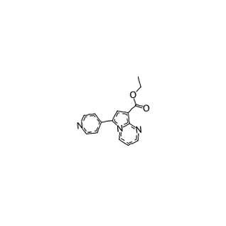 CCOC(=O)c1cc(-c2ccncc2)n2cccnc12